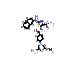 CC1CN(c2ccc(C(=O)Nc3sc(Nc4ccc5ccccc5c4)nc3C(N)=O)cc2)CC(C)O1